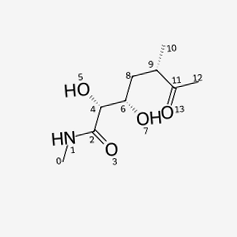 CNC(=O)[C@H](O)[C@@H](O)C[C@H](C)C(C)=O